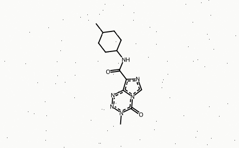 CC1CCC(NC(=O)c2ncn3c(=O)n(C)nnc23)CC1